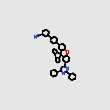 N#Cc1cccc(-c2ccc(-c3ccc4c(c3)C3(c5cc(-c6cc(-c7ccccc7)nc(-c7ccccc7)n6)ccc5O4)c4ccccc4-c4ccccc43)cc2)c1